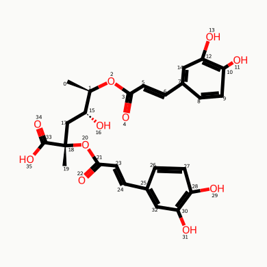 C[C@@H](OC(=O)/C=C/c1ccc(O)c(O)c1)[C@H](O)C[C@](C)(OC(=O)/C=C/c1ccc(O)c(O)c1)C(=O)O